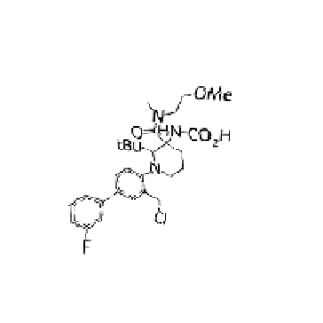 COCCN(C)C(=O)C1(NC(=O)O)CCCN(c2ccc(-c3cccc(F)c3)cc2CCl)C1C(C)(C)C